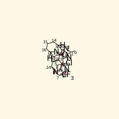 Cc1nc(-c2cnccn2)c2c(n1)[C@H]1CCC[C@@H](C2)N1C(=O)c1cccc(C(F)(F)F)c1Cl